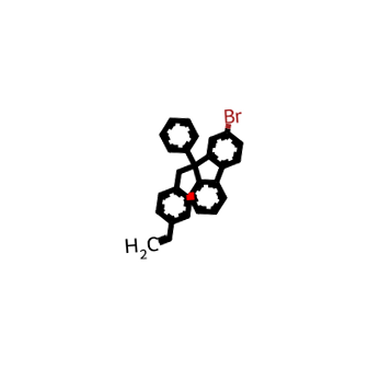 C=Cc1ccc(CC2(c3ccccc3)c3ccccc3-c3ccc(Br)cc32)cc1